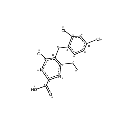 CCc1nc(C(=O)O)nc(Cl)c1Cc1ccc(Cl)cc1Cl